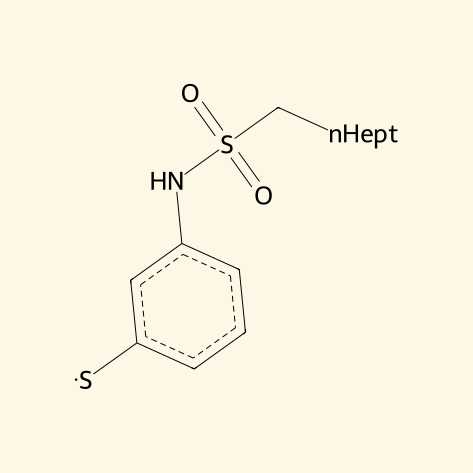 CCCCCCCCS(=O)(=O)Nc1cccc([S])c1